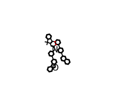 CC1(C)C2=C(CCC(N(c3cccc(-c4ccc5oc6ccccc6c5c4)c3)c3cc(-c4ccc5ccccc5c4)ccc3-c3ccccc3)=C2)c2ccccc21